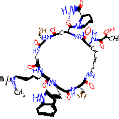 C[C@H](O)C(=O)N[C@H]1CCCCNC(=O)[C@H](CS)NC(=O)[C@H](Cc2c[nH]c3ccccc23)NC(=O)[C@H](CCCCN(C)C)NC(=O)CNC(=O)[C@H](CS)NC(=O)C[C@@H](C(=O)N2CCC[C@H]2C(N)=O)NC1=O